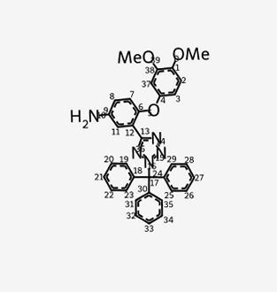 COc1ccc(Oc2ccc(N)cc2-c2nnn(C(c3ccccc3)(c3ccccc3)c3ccccc3)n2)cc1OC